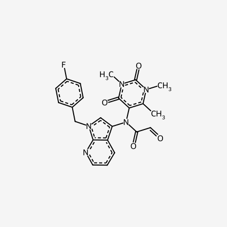 Cc1c(N(C(=O)C=O)c2cn(Cc3ccc(F)cc3)c3ncccc23)c(=O)n(C)c(=O)n1C